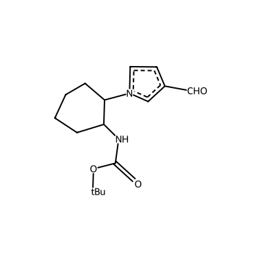 CC(C)(C)OC(=O)NC1CCCCC1n1ccc(C=O)c1